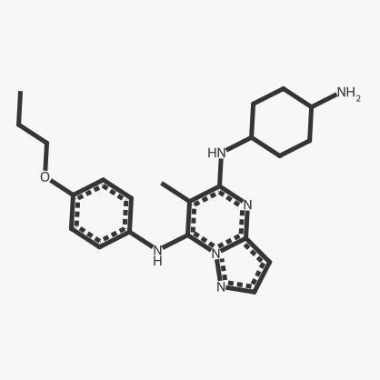 CCCOc1ccc(Nc2c(C)c(NC3CCC(N)CC3)nc3ccnn23)cc1